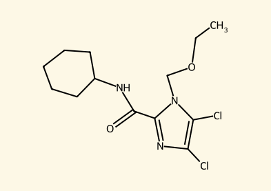 CCOCn1c(C(=O)NC2CCCCC2)nc(Cl)c1Cl